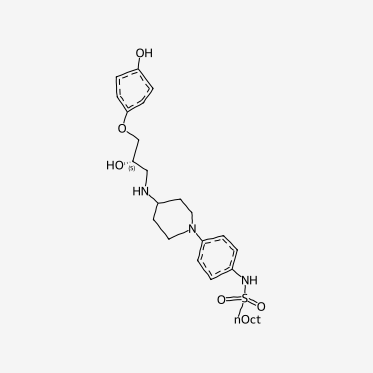 CCCCCCCCS(=O)(=O)Nc1ccc(N2CCC(NC[C@H](O)COc3ccc(O)cc3)CC2)cc1